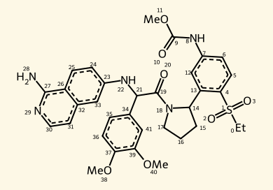 CCS(=O)(=O)c1ccc(NC(=O)OC)cc1C1CCCN1C(=O)C(Nc1ccc2c(N)nccc2c1)c1ccc(OC)c(OC)c1